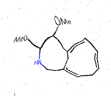 COC1NCc2ccccc2C1OC